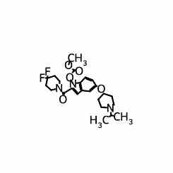 COC(=O)On1c(C(=O)N2CCC(F)(F)CC2)cc2cc(OC3CCN(C(C)C)CC3)ccc21